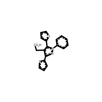 O=C(O)Cc1c(-c2cccs2)nn(-c2ccccc2)c1-c1cccs1